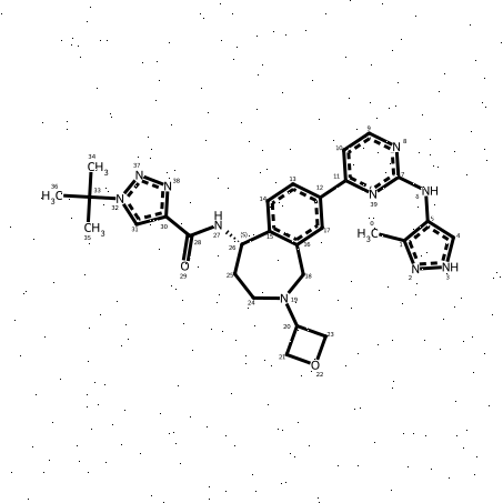 Cc1n[nH]cc1Nc1nccc(-c2ccc3c(c2)CN(C2COC2)CC[C@@H]3NC(=O)c2cn(C(C)(C)C)nn2)n1